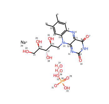 Cc1cc2nc3c(=O)[nH]c(=O)nc-3n(C[C@H](O)[C@H](O)[C@H](O)CO)c2cc1C.O.O.O=P([O-])(O)O.[Na+]